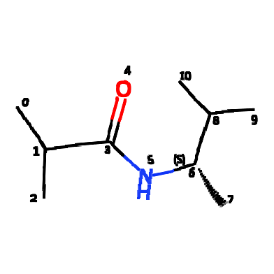 CC(C)C(=O)N[C@@H](C)C(C)C